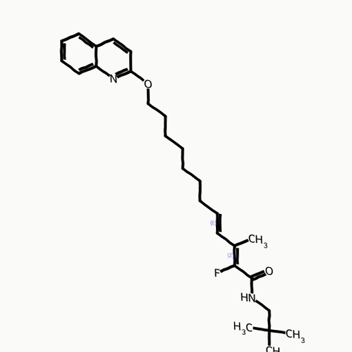 CC(/C=C/CCCCCCCOc1ccc2ccccc2n1)=C(/F)C(=O)NCC(C)(C)C